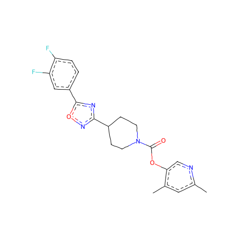 Cc1cc(C)c(OC(=O)N2CCC(c3noc(-c4ccc(F)c(F)c4)n3)CC2)cn1